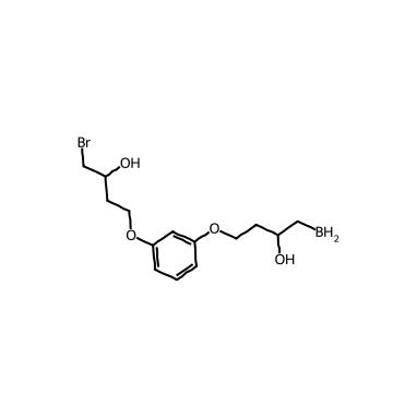 BCC(O)CCOc1cccc(OCCC(O)CBr)c1